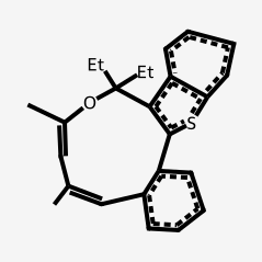 CCC1(CC)O/C(C)=C\C(C)=C/c2ccccc2-c2sc3ccccc3c21